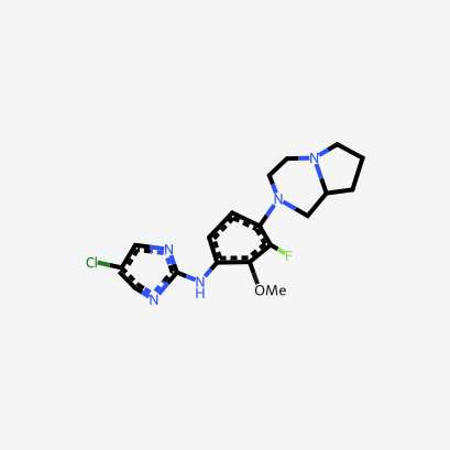 COc1c(Nc2ncc(Cl)cn2)ccc(N2CCN3CCCC3C2)c1F